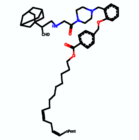 CCCCC/C=C\C/C=C\CCCCCCCCOC(=O)c1ccc(COc2ccccc2CN2CCN(C(=O)CNCC(C=O)C34CC5CC(CC(C5)C3)C4)CC2)cc1